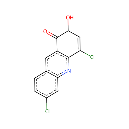 O=C1c2cc3ccc(Cl)cc3nc2C(Cl)=CC1O